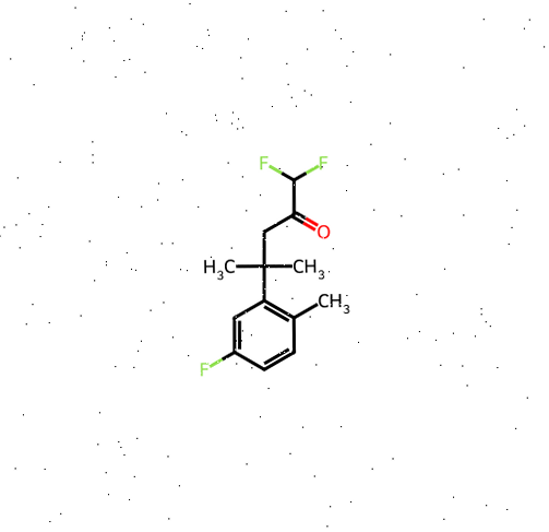 Cc1ccc(F)cc1C(C)(C)CC(=O)C(F)F